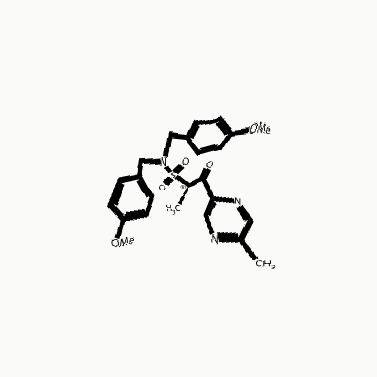 COc1ccc(CN(Cc2ccc(OC)cc2)S(=O)(=O)[C@H](C)C(=O)c2cnc(C)cn2)cc1